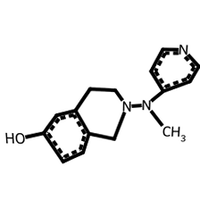 CN(c1ccncc1)N1CCc2cc(O)ccc2C1